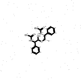 C[C@H](OC(O)C(NC(=O)C(C)(C)C)c1ccccc1)[C@H](NC(=O)C(C)(C)C)c1ccccc1